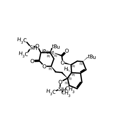 CCC[C@H](C)C(=O)O[C@H]1C[C@H](C(C)(C)C)C=C2C=C[C@H](C)[C@](CC[C@@H]3C[C@H](C(C)(C)C)C(O[SiH](C)C)C(=O)O3)(O[SiH](C)C)[C@H]21